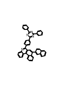 c1ccc(-c2nc(-c3ccccc3)nc(-c3ccc(-c4nc5ccccc5c5c4cc(-c4ccc6ccccc6c4)c4ccccc45)cc3)n2)cc1